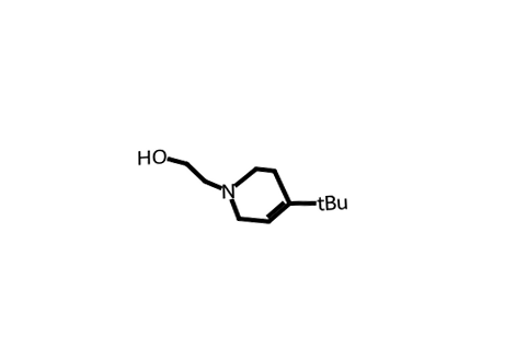 CC(C)(C)C1=CCN(CCO)CC1